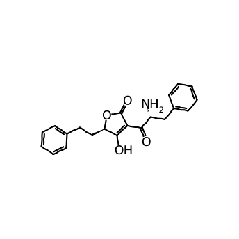 N[C@H](Cc1ccccc1)C(=O)C1=C(O)[C@@H](CCc2ccccc2)OC1=O